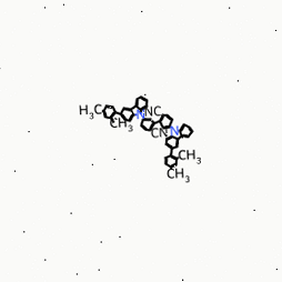 Cc1ccc(-c2ccc3c(c2)c2ccccc2n3-c2ccc(C#N)c(-c3cc(-n4c5ccccc5c5cc(-c6ccc(C)cc6C)ccc54)ccc3C#N)c2)c(C)c1